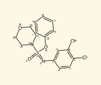 O=S(=Nc1ccc(Cl)c(Cl)c1)(Oc1ccccc1)N1CCOCC1